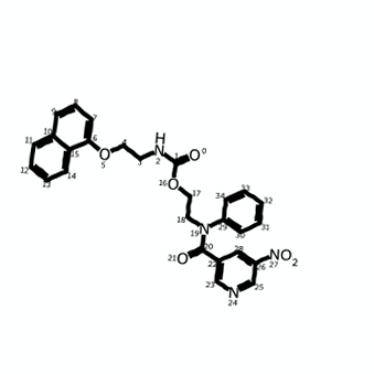 O=C(NCCOc1cccc2ccccc12)OCCN(C(=O)c1cncc([N+](=O)[O-])c1)c1ccccc1